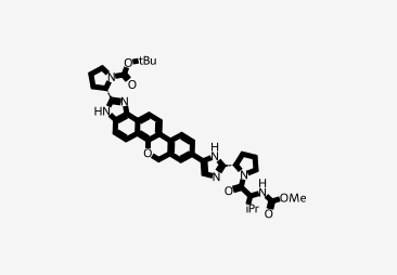 COC(=O)NC(C(=O)N1CCC[C@H]1c1ncc(-c2ccc3c(c2)COc2c-3ccc3c2ccc2[nH]c([C@@H]4CCCN4C(=O)OC(C)(C)C)nc23)[nH]1)C(C)C